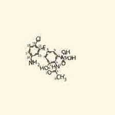 CC(=O)Nc1c(O)cccc1[As](=O)(O)O.Nc1ccc(Cl)c(F)c1